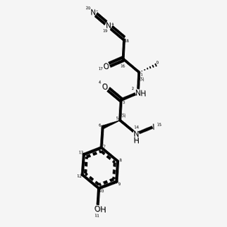 C[C@H](NC(=O)[C@H](Cc1ccc(O)cc1)NI)C(=O)C=[N+]=[N-]